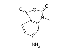 Bc1ccc2c(=O)oc(=O)n(C)c2c1